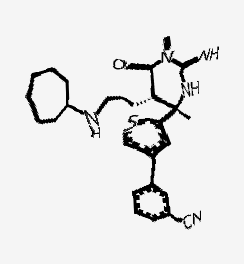 CN1C(=N)N[C@](C)(c2cc(-c3cccc(C#N)c3)cs2)[C@H](CCNC2CCCCCC2)C1=O